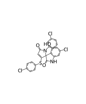 O=C1C=C(Sc2ccc(Cl)cc2)C2(C(=O)Nc3cc(Cl)cc(O)c32)N1c1cccc(Cl)c1